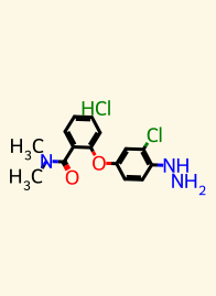 CN(C)C(=O)c1ccccc1Oc1ccc(NN)c(Cl)c1.Cl